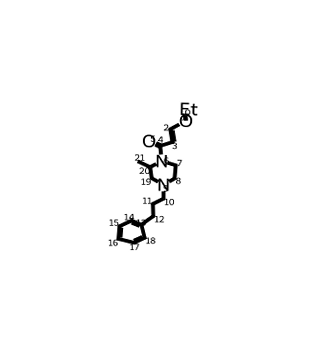 CCOC=CC(=O)N1CCN(CCCc2ccccc2)CC1C